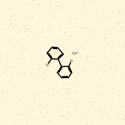 [Ca+2].[O-]c1ccccc1-c1ccccc1[O-]